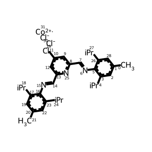 Cc1cc(C(C)C)c(N=Cc2cc(Cl)cc(C=Nc3c(C(C)C)cc(C)cc3C(C)C)n2)c(C(C)C)c1.[Cl-].[Cl-].[Co+2]